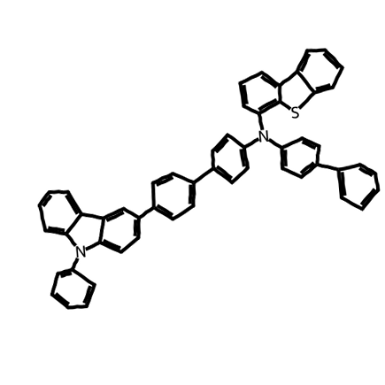 c1ccc(-c2ccc(N(c3ccc(-c4ccc(-c5ccc6c(c5)c5ccccc5n6-c5ccccc5)cc4)cc3)c3cccc4c3sc3ccccc34)cc2)cc1